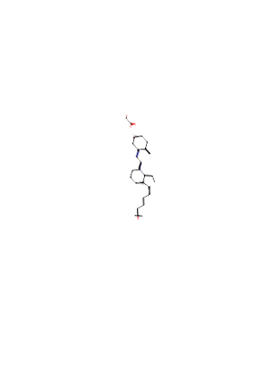 C=C1CC[C@H](OC(=O)CBr)C/C1=C/C=C1\CCC[C@@]2(C)C1CC[C@@H]2[C@H](C)CCCC(O)(C(F)(F)F)C(F)(F)F